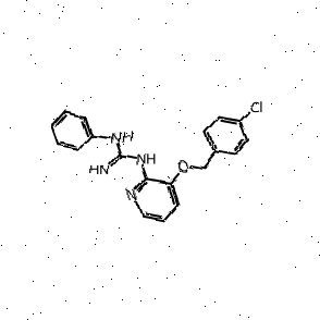 N=C(Nc1ccccc1)Nc1ncccc1OCc1ccc(Cl)cc1